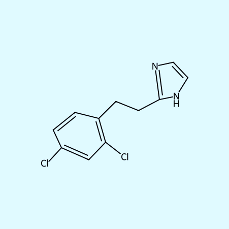 Clc1ccc(CCc2ncc[nH]2)c(Cl)c1